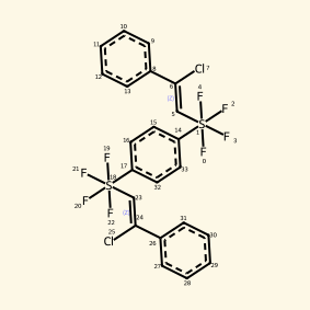 FS(F)(F)(F)(/C=C(\Cl)c1ccccc1)c1ccc(S(F)(F)(F)(F)/C=C(\Cl)c2ccccc2)cc1